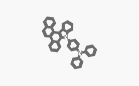 c1ccc(N(c2ccccc2)c2ccc(-n3c4ccccc4c4c5c6ccccc6ccc5c5ccccc5c43)cc2)cc1